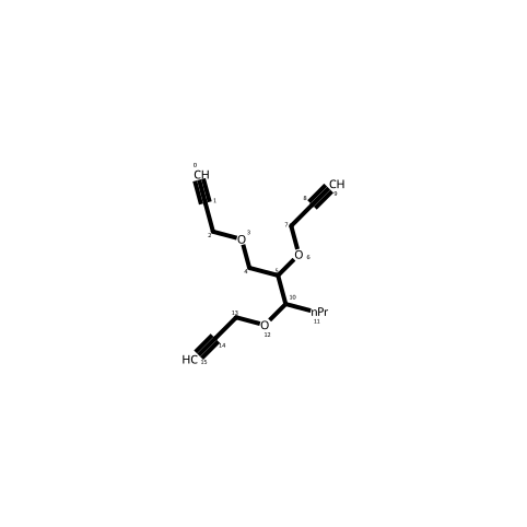 C#CCOCC(OCC#C)C(CCC)OCC#C